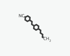 C=CCCCC1CCC(CCC2CCC(C#N)CC2)CC1